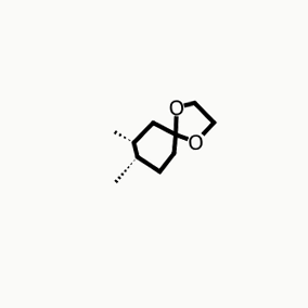 C[C@@H]1CC2(CC[C@@H]1C)OCCO2